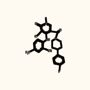 Cn1cc(C(=O)N2CCC(c3ccc(F)cc3)CC2)c(Nc2ccc(C(F)(F)F)cc2C#N)c(Cl)c1=O